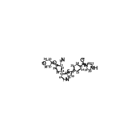 N#Cc1cc(-c2ccnc3cc(-c4ccc(C(=O)N5CCNCC5)cc4)sc23)ccc1OC1CCOCC1